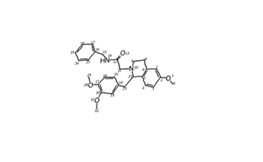 COc1ccc2c(c1)CCN(CC(=O)NCc1ccccc1)C2Cc1ccc(OC)c(OC)c1